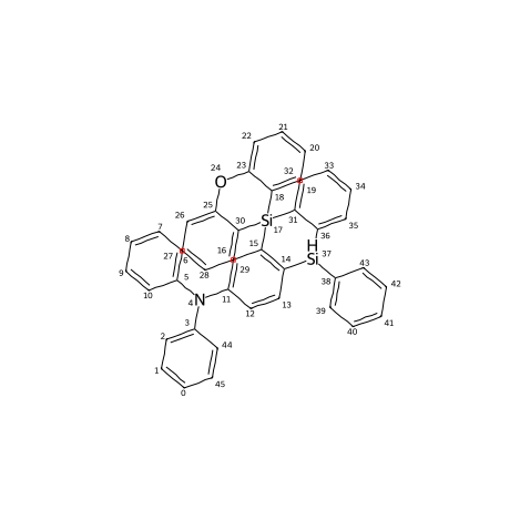 c1ccc(N(c2ccccc2)c2ccc3c(c2)[Si]2(c4ccccc4Oc4ccccc42)c2ccccc2[SiH]3c2ccccc2)cc1